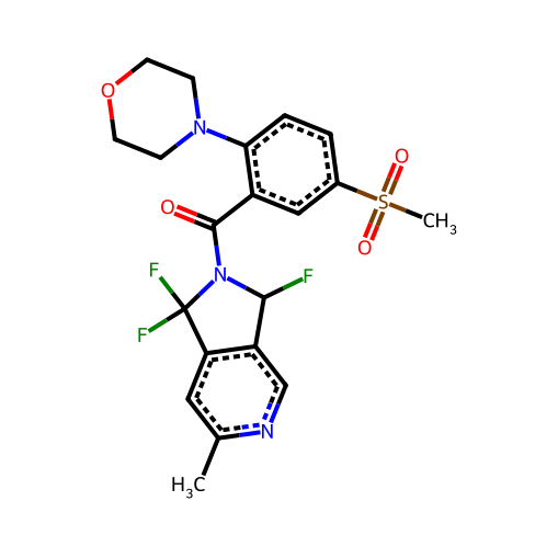 Cc1cc2c(cn1)C(F)N(C(=O)c1cc(S(C)(=O)=O)ccc1N1CCOCC1)C2(F)F